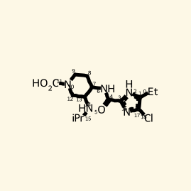 CCc1[nH]c(C(=O)NC2CCN(C(=O)O)CC2NC(C)C)nc1Cl